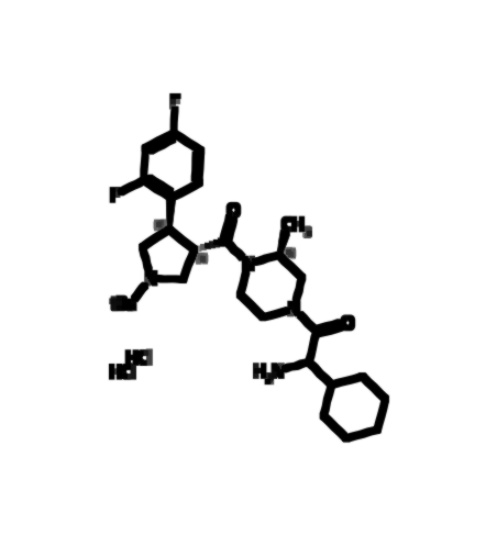 C[C@H]1CN(C(=O)C(N)C2CCCCC2)CCN1C(=O)[C@@H]1CN(C(C)(C)C)C[C@H]1c1ccc(F)cc1F.Cl.Cl